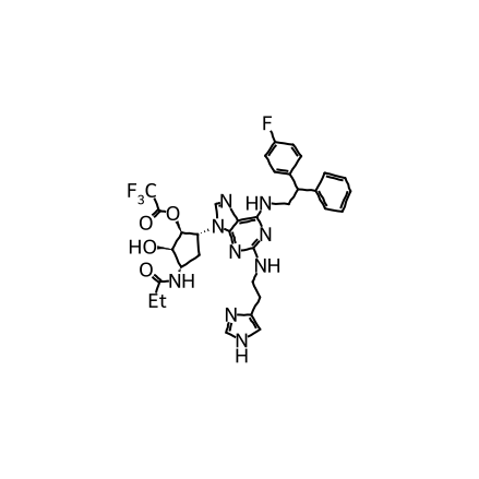 CCC(=O)N[C@H]1C[C@@H](n2cnc3c(NCC(c4ccccc4)c4ccc(F)cc4)nc(NCCc4c[nH]cn4)nc32)[C@H](OC(=O)C(F)(F)F)[C@@H]1O